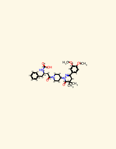 COc1ccc(C2=NN(C3CCN(C(=O)C[C@@H](Cc4ccccc4)NC(=O)O)CC3)C(=O)C(C)(C)C2)cc1OC